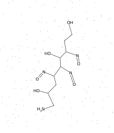 O=NC(CCO)C(O)C(N=O)C(CC(O)C[SiH3])N=O